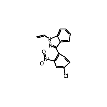 C=Cn1nc(-c2ccc(Cl)cc2[N+](=O)[O-])c2ccccc21